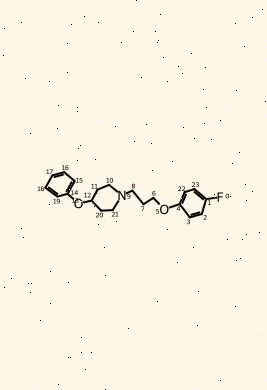 Fc1ccc(OCCCN2CCC(Oc3ccccc3)CC2)cc1